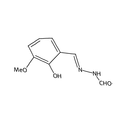 COc1cccc(C=NN[C]=O)c1O